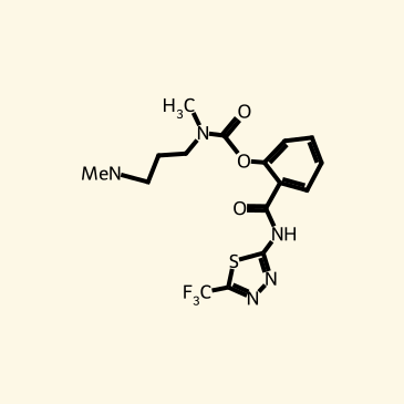 CNCCCN(C)C(=O)Oc1ccccc1C(=O)Nc1nnc(C(F)(F)F)s1